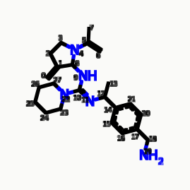 C=C1CCN(C(=C)C)C1N/C(=N\C(C)c1ccc(CN)cc1)N1CCCCC1